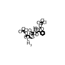 CC1=C(C(=O)OCC(Cl)(Cl)Cl)N2C(=O)[C@@H](NC(=O)C(NC(=O)OCC(Cl)(Cl)Cl)c3ccccc3)[C@H]2SC1